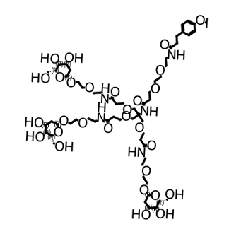 O=C(CCOCC(COCCC(=O)NCCOCCO[C@H]1C[C@@H](O)[C@@H](O)[C@@H](CO)O1)(COCCC(=O)NCCOCCO[C@H]1C[C@@H](O)[C@@H](O)[C@@H](CO)O1)NC(=O)CCOCCOCCNC(=O)CCc1ccc(OI)cc1)NCCOCCO[C@H]1C[C@@H](O)[C@@H](O)[C@@H](CO)O1